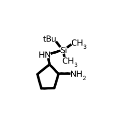 CC(C)(C)[Si](C)(C)NC1CCCC1N